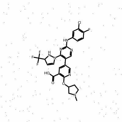 CN1CCC(Oc2ncc(-c3cnc(Nc4ccc(F)c(Cl)c4)nc3N3C=CC(C(F)(F)F)N3)cc2C(=O)O)C1